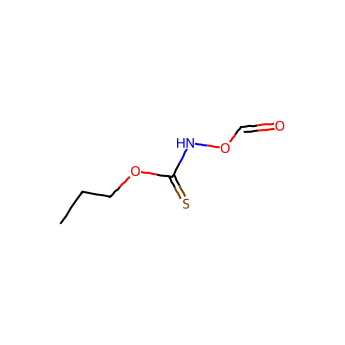 CCCOC(=S)NOC=O